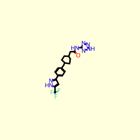 O=C(CC1CCC(c2ccc(-c3cc(C(F)(F)F)[nH]n3)cc2)CC1)Nc1nn[nH]n1